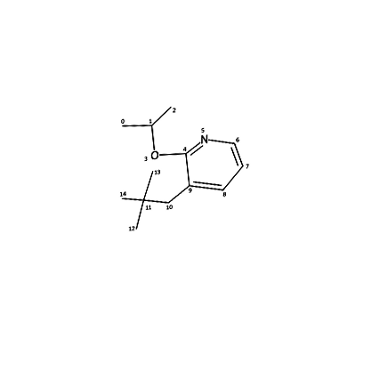 CC(C)Oc1ncccc1CC(C)(C)C